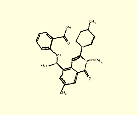 Cc1cc([C@@H](C)Nc2ccccc2C(=O)O)c2cc(N3CCC(C)CC3)n(C)c(=O)c2c1